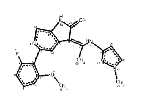 COc1cccc(F)c1-c1cc2c(cn1)NC(=O)/C2=C(/C)Nc1ccn(C)n1